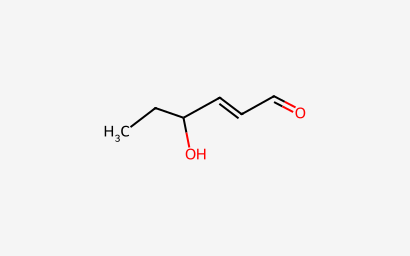 CCC(O)C=CC=O